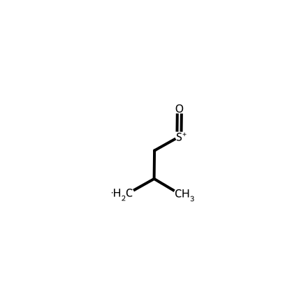 [CH2]C(C)C[S+]=O